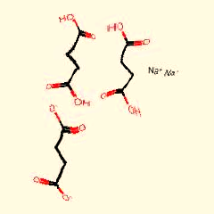 O=C(O)CCC(=O)O.O=C(O)CCC(=O)O.O=C([O-])CCC(=O)[O-].[Na+].[Na+]